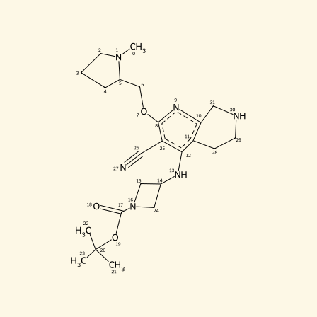 CN1CCCC1COc1nc2c(c(NC3CN(C(=O)OC(C)(C)C)C3)c1C#N)CCNC2